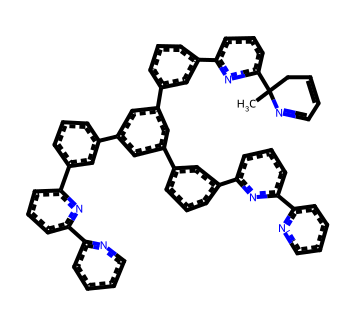 CC1(c2cccc(-c3cccc(-c4cc(-c5cccc(-c6cccc(-c7ccccn7)n6)c5)cc(-c5cccc(-c6cccc(-c7ccccn7)n6)c5)c4)c3)n2)CC=CC=N1